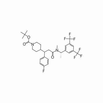 C[C@@H](c1cc(C(F)(F)F)cc(C(F)(F)F)c1)N(C)C(=O)CC(c1ccc(F)cc1)C1CCN(C(=O)OC(C)(C)C)CC1